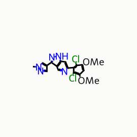 COc1cc(OC)c(Cl)c(-c2cc3[nH]nc(-c4cnn(C)c4)c3cn2)c1Cl